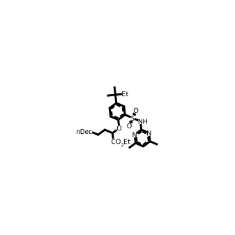 CCCCCCCCCCCCC(Oc1ccc(C(C)(C)CC)cc1S(=O)(=O)Nc1nc(C)cc(C)n1)C(=O)OCC